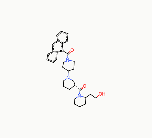 O=C(c1c2ccccc2cc2ccccc12)N1CCC(N2CCC[C@@H](C(=O)N3CCCCC3CCO)C2)CC1